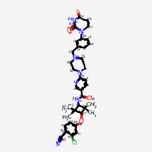 CC1(C)C(NC(=O)c2ccc(N3CCN(Cc4cccc(N5CCC(=O)NC5=O)c4)CC3)nc2)C(C)(C)C1Oc1ccc(C#N)c(Cl)c1